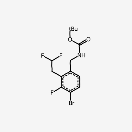 CC(C)(C)OC(=O)NCc1ccc(Br)c(F)c1CC(F)F